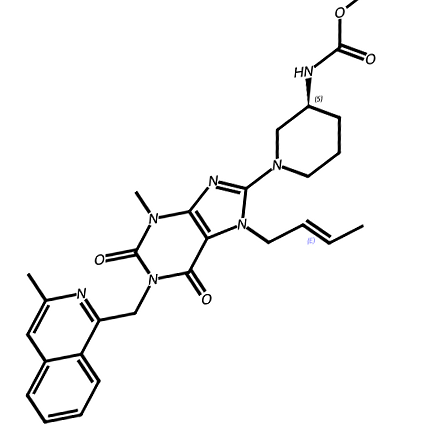 C/C=C/Cn1c(N2CCC[C@H](NC(=O)OC(C)(C)C)C2)nc2c1c(=O)n(Cc1nc(C)cc3ccccc13)c(=O)n2C